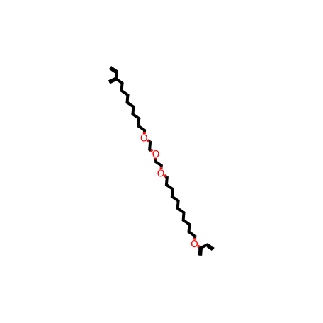 C=CC(=C)CCCCCCCCCOCCOCCOCCCCCCCCCCCOC(=C)C=C